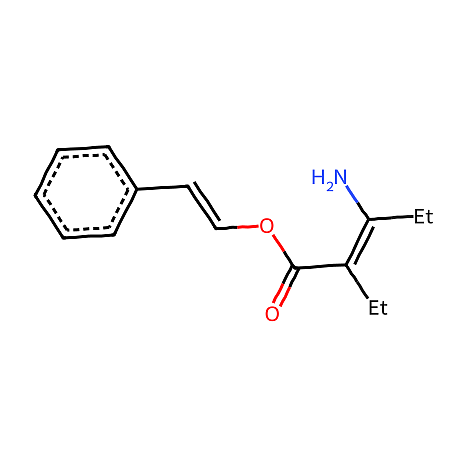 CCC(N)=C(CC)C(=O)OC=Cc1ccccc1